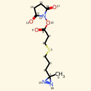 CC1(CCCSCCC(=O)ON2C(=O)CCC2=O)N=N1